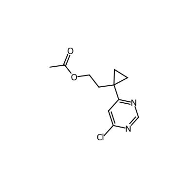 CC(=O)OCCC1(c2cc(Cl)ncn2)CC1